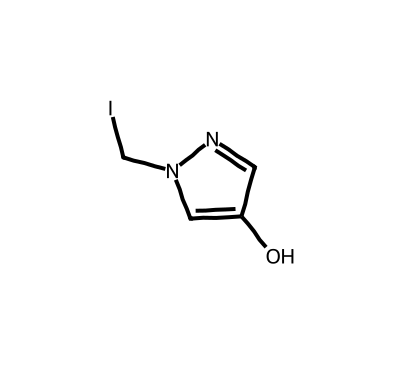 Oc1cnn(CI)c1